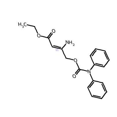 CCOC(=O)/C=C(\N)COC(=O)N(c1ccccc1)c1ccccc1